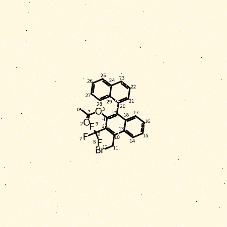 CC(=O)Oc1c(C(F)(F)F)c(CBr)c2ccccc2c1-c1cccc2ccccc12